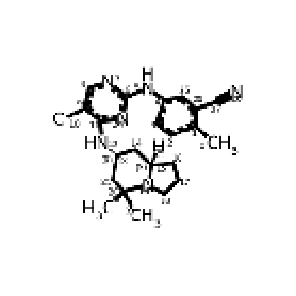 Cc1ccc(Nc2ncc(Cl)c(N[C@@H]3C[C@@H]4CCCN4C(C)(C)C3)n2)cc1C#N